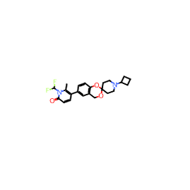 Cc1c(-c2ccc3c(c2)COC2(CCN(C4CCC4)CC2)O3)ccc(=O)n1C(F)F